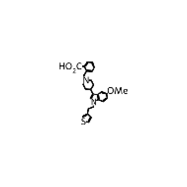 COc1ccc2c(c1)c(C1CCN(Cc3ccccc3C(=O)O)CC1)cn2CCc1ccsc1